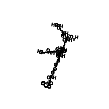 O=C(CCCc1ccc(I)cc1)NCCCCC(NC(=O)C(CCC(=O)NCCCCCC(=O)N[C@@H](CCC(=O)NCCCCOPO)C(=O)O)NC(=O)CCOCCOCCOCCOCCNC(=O)CCC(=O)N1Cc2ccccc2C#Cc2ccccc21)C(=O)O